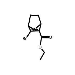 CCOC(=O)C1=C(Br)C2CCC1O2